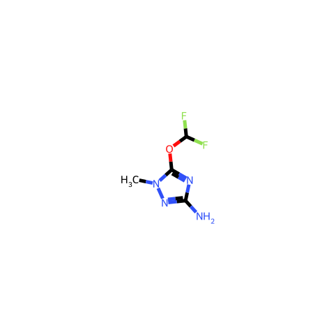 Cn1nc(N)nc1OC(F)F